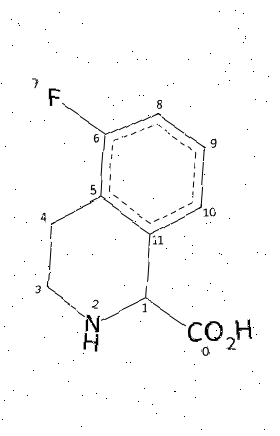 O=C(O)C1NCCc2c(F)cccc21